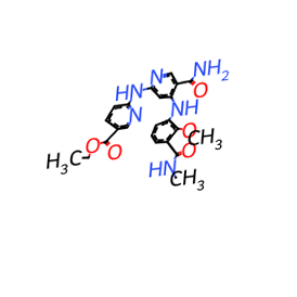 CCOC(=O)c1ccc(Nc2cc(Nc3cccc(C(=O)NC)c3OC)c(C(N)=O)cn2)nc1